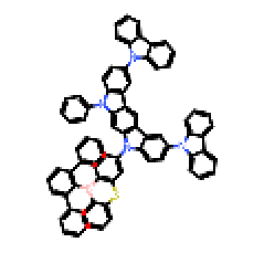 c1ccc(-c2cccc(-c3ccccc3)c2B2c3ccccc3Sc3cc(-n4c5ccc(-n6c7ccccc7c7ccccc76)cc5c5cc6c7cc(-n8c9ccccc9c9ccccc98)ccc7n(-c7ccccc7)c6cc54)ccc32)cc1